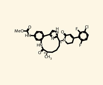 COC(=O)Nc1ccc2c(c1)NC(=O)[C@H](C)CCC[C@H](N1CCC(c3c(F)ccc(Cl)c3F)=CC1=O)c1nc-2c[nH]1